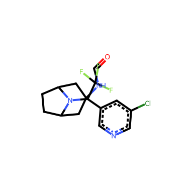 O=CNC1(c2cncc(Cl)c2)CC2CCC(C1)N2CC(F)(F)F